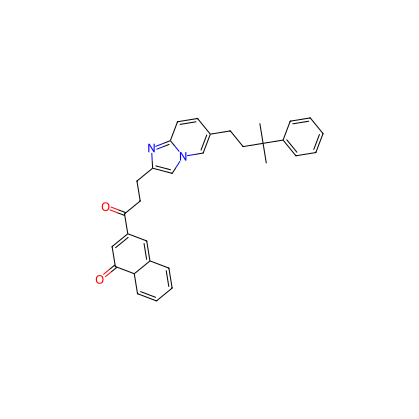 CC(C)(CCc1ccc2nc(CCC(=O)C3=CC(=O)C4C=CC=CC4=C3)cn2c1)c1ccccc1